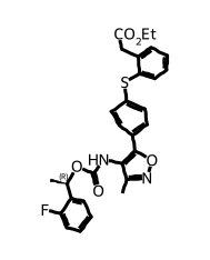 CCOC(=O)Cc1ccccc1Sc1ccc(-c2onc(C)c2NC(=O)O[C@H](C)c2ccccc2F)cc1